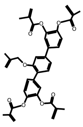 C=C(C)COc1cc(-c2ccc(OC(=O)C(=C)C)c(OC(=O)C(=C)C)c2)ccc1-c1ccc(OC(=O)C(=C)C)c(OC(=O)C(=C)C)c1